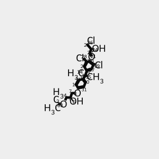 CC(C)OC[C@H](O)COc1ccc(C(C)(C)c2cc(Cl)c(OC[C@@H](O)CCl)c(Cl)c2)cc1